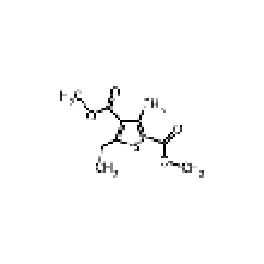 CCc1sc(C(=O)OC)c(C)c1C(=O)OC